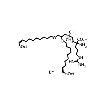 CCCCCCCC/C=C\CCCCCCCCOCC(C[N+](C)(C)CCC(N)(CCCNC(=N)N)C(=O)O)OCCCCCCCC/C=C\CCCCCCCC.[Br-]